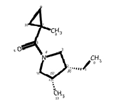 CC[C@H]1CN(C(=O)C2(C)CC2)C[C@H]1C